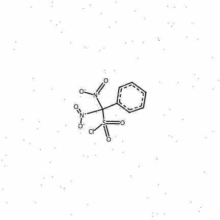 O=[N+]([O-])C(c1ccccc1)([N+](=O)[O-])S(=O)(=O)Cl